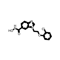 O=C(NO)c1ccc2ncn(CCOc3ccccc3Cl)c2c1